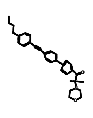 CCCCc1ccc(C#Cc2ccc(-c3ccc(C(=O)C(C)(C)N4CCOCC4)cc3)cc2)cc1